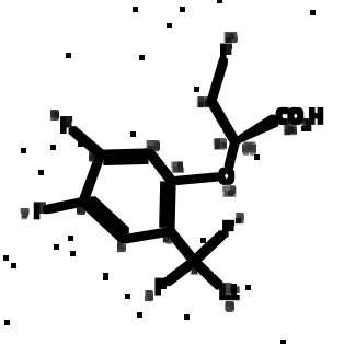 CCC(F)(F)c1cc(F)c(F)cc1O[C@@H](CF)C(=O)O